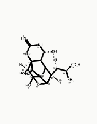 N=C1N[C@H](O)C2C3OC4(O)OC(C(O)C2(N1)[C@@H]4O)[C@]3(O)[C@H](O)[C@H](N)C(=O)O